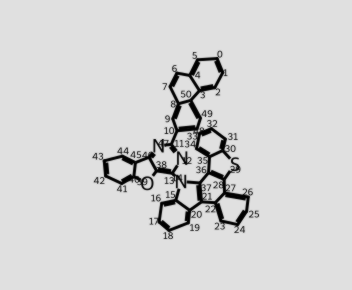 c1ccc2c(c1)ccc1cc(-c3nc(-n4c5ccccc5c5c6ccccc6c6sc7ccccc7c6c54)c4oc5ccccc5c4n3)ccc12